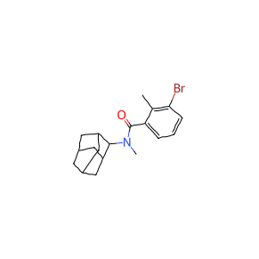 Cc1c(Br)cccc1C(=O)N(C)C1C2CC3CC(C2)CC1C3